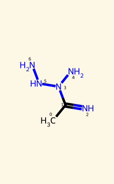 CC(=N)N(N)NN